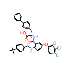 CC(C)(C)c1ccc(CNc2ccc(Oc3ccc(Cl)c(Cl)c3Cl)cc2C(=O)N[C@@H](Cc2ccc(-c3ccccc3)cc2)C(=O)O)cc1